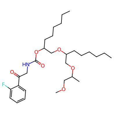 CCCCCCC(COC(C)COC)OCC(CCCCCC)OC(=O)NCC(=O)c1ccccc1F